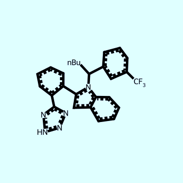 CCCCC(c1cccc(C(F)(F)F)c1)n1c(-c2ccccc2-c2nn[nH]n2)cc2ccccc21